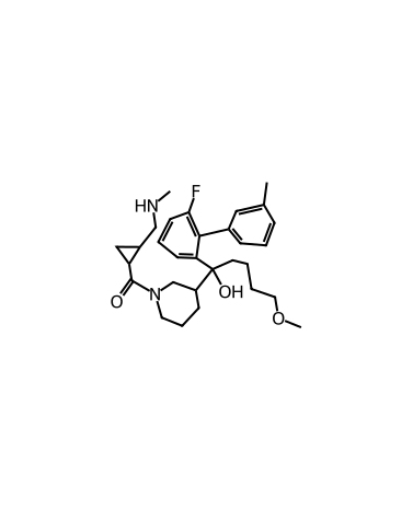 CNCC1CC1C(=O)N1CCCC(C(O)(CCCCOC)c2cccc(F)c2-c2cccc(C)c2)C1